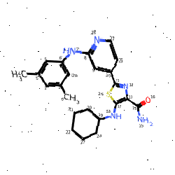 Cc1cc(C)cc(Nc2cc(-c3nc(C(N)=O)c(NC4CCCCC4)s3)ccn2)c1